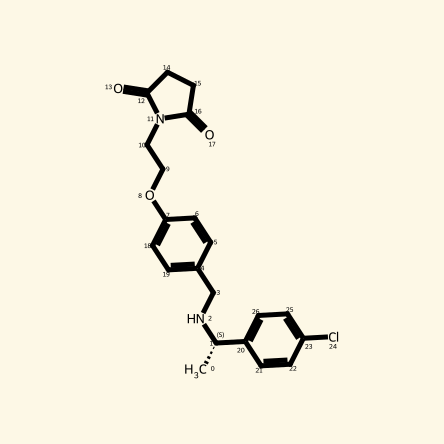 C[C@H](NCc1ccc(OCCN2C(=O)CCC2=O)cc1)c1ccc(Cl)cc1